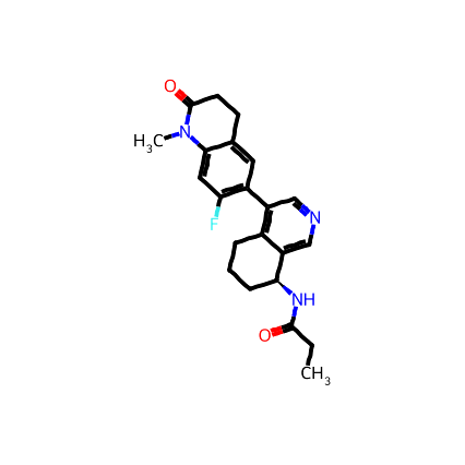 CCC(=O)N[C@H]1CCCc2c(-c3cc4c(cc3F)N(C)C(=O)CC4)cncc21